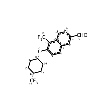 O=Cc1cc2ccc(O[C@H]3CC[C@@H](C(F)(F)F)CC3)c(C(F)(F)F)c2cn1